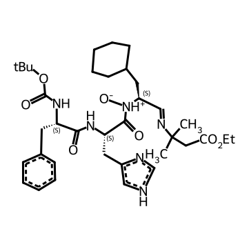 CCOC(=O)CC(C)(C)N=C[C@H](CC1CCCCC1)[NH+]([O-])C(=O)[C@H](Cc1c[nH]cn1)NC(=O)[C@H](Cc1ccccc1)NC(=O)OC(C)(C)C